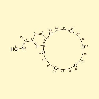 CC(=NO)c1ccc2c(c1)OCCOCCOCCOCCOCCO2